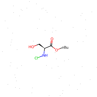 CCCCOC(=O)[C@H](CO)NCl